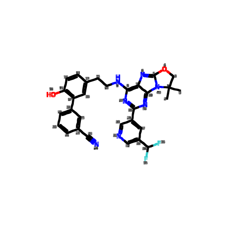 CC1(C)COc2nc3c(NCCc4ccc(O)c(-c5cccc(C#N)c5)c4)nc(-c4cncc(C(F)F)c4)nc3n21